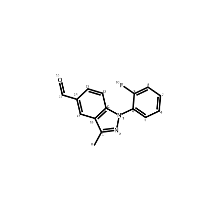 Cc1nn(-c2ccccc2F)c2ccc(C=O)cc12